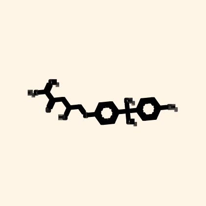 C=C(C)C(=O)CC(O)COc1ccc(C(C)(C)c2ccc(C)cc2)cc1